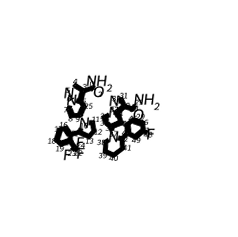 NC(=O)c1cnn2ccc(N3CCCC3c3ccccc3C(F)(F)F)cc12.NC(=O)c1cnn2ccc(N3CCCCC3c3cccc(F)c3)cc12